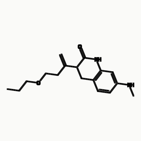 C=C(CCOCCC)C1Cc2ccc(NC)cc2NC1=O